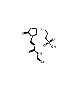 C=CNC(=O)C=CN1CCCC1=O.CCCS(=O)(=O)O